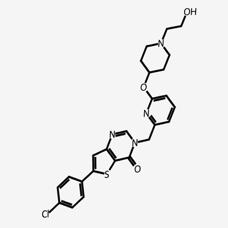 O=c1c2sc(-c3ccc(Cl)cc3)cc2ncn1Cc1cccc(OC2CCN(CCO)CC2)n1